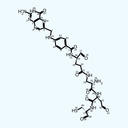 Nc1nc2ncc(CNc3ccc(C(=O)N[C@@H](C=O)CCC(=O)NC[C@H](N)C(=O)N[C@@H](CC=O)C(=O)N[C@H](C=O)CS)cc3)nc2c(=O)[nH]1